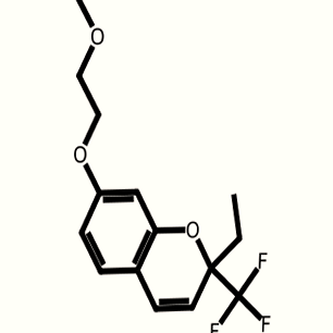 CCC1(C(F)(F)F)C=Cc2ccc(OCCOC)cc2O1